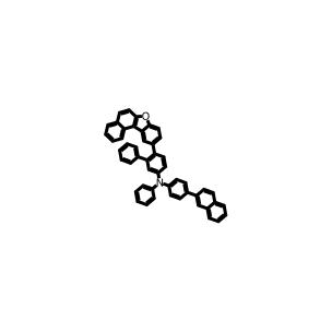 c1ccc(-c2cc(N(c3ccccc3)c3ccc(-c4ccc5ccccc5c4)cc3)ccc2-c2ccc3oc4ccc5ccccc5c4c3c2)cc1